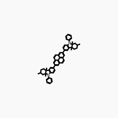 CC1CCC2(C)c3cc(-c4cc5ccc6cc(-c7ccc8c(c7)C7(C)CCC(C)CC7(C)N8c7ccccc7)cc7ccc(c4)c5c67)ccc3N(c3ccccc3)C2(C)C1